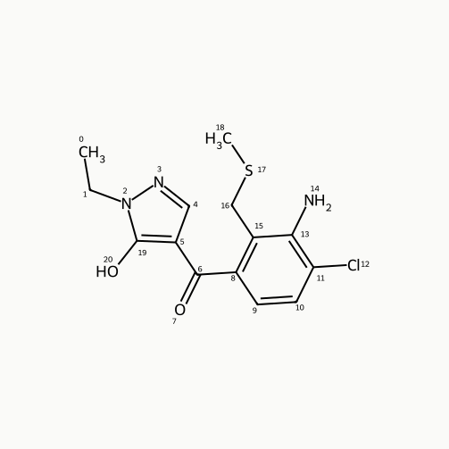 CCn1ncc(C(=O)c2ccc(Cl)c(N)c2CSC)c1O